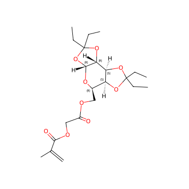 C=C(C)C(=O)OCC(=O)OC[C@H]1O[C@@H]2OC(CC)(CC)O[C@@H]2[C@H]2OC(CC)(CC)O[C@H]21